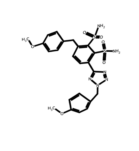 COc1ccc(Cc2ccc(-c3nnn(Cc4ccc(OC)cc4)n3)c(S(N)(=O)=O)c2S(N)(=O)=O)cc1